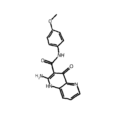 COc1ccc(NC(=O)c2c(N)[nH]c3cccnc3c2=O)cc1